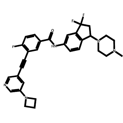 CN1CCN(C2CC(F)(F)c3cc(NC(=O)c4ccc(F)c(C#Cc5cncc(N6CCC6)c5)c4)ccc32)CC1